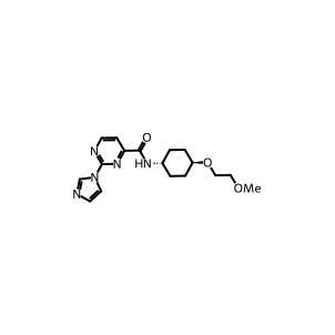 COCCO[C@H]1CC[C@H](NC(=O)c2ccnc(-n3ccnc3)n2)CC1